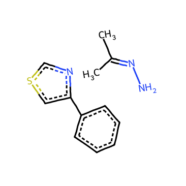 CC(C)=NN.c1ccc(-c2cscn2)cc1